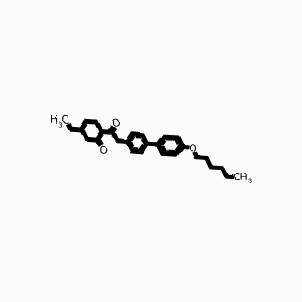 CCCCCCOc1ccc(-c2ccc(CC(=O)C3CCC(CC)CC3=O)cc2)cc1